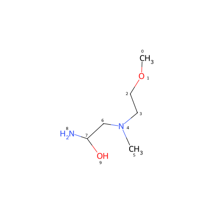 COCCN(C)CC(N)O